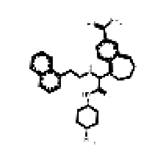 N=C(N)c1ccc2c(c1)=CCCCC=2C(NCCc1cccc2ccccc12)C(=O)N[C@H]1CC[C@H](N)CC1